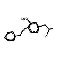 COc1cc(CC(C)N)ccc1OCc1ccccc1